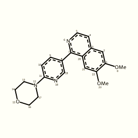 COc1cc2ccnc(-c3ccc(N4CCOCC4)nc3)c2cc1OC